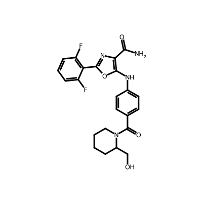 NC(=O)c1nc(-c2c(F)cccc2F)oc1Nc1ccc(C(=O)N2CCCCC2CO)cc1